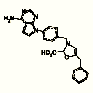 Nc1ncnc2c1ccn2-c1ccc(CN2C=C(Cc3ccccc3)OC2C(=O)O)cc1